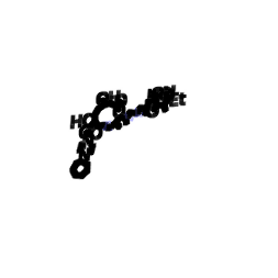 CCC(O)C(C)C1OC(C)(/C=C/C=C(\C)C2OC(=O)CC(O)CCC(C)(O)C(OC(=O)N3CCN(C4CCCCCC4)CC3)/C=C/C2C)CC1O